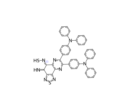 N=C1/C(=N\S)c2nc(-c3ccc(N(c4ccccc4)c4ccccc4)cc3)c(-c3ccc(N(c4ccccc4)c4ccccc4)cc3)nc2-c2nsnc21